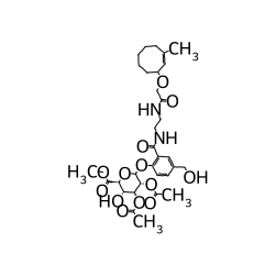 COC(=O)[C@H]1O[C@@H](Oc2ccc(CO)cc2C(=O)NCCNC(=O)COC2/C=C(/C)CCCCC2)[C@H](OC(C)=O)[C@@H](OC(C)=O)[C@@H]1O